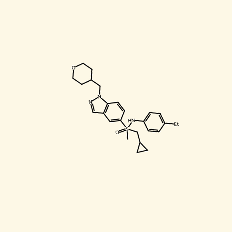 CCc1ccc(NS(C)(=O)(CC2CC2)c2ccc3c(cnn3CC3CCOCC3)c2)cc1